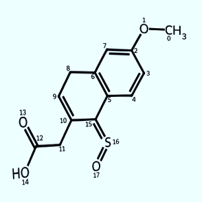 COc1ccc2c(c1)CC=C(CC(=O)O)C2=S=O